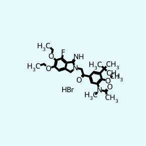 Br.CCOc1cc2c(c(F)c1OCC)C(=N)N(CC(=O)c1cc(N(C)C(C)=O)c(OC)c(C(C)(C)C)c1)C2